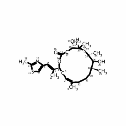 C/C1=C/C[C@@H](/C(C)=C/c2csc(C)n2)OC(=O)C[C@H](O)C(C)(C)S[C@H](C)[C@@H](O)[C@@H](C)CCC1